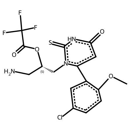 COc1ccc(Cl)cc1-c1cc(=O)[nH]c(=S)n1C[C@H](CN)OC(=O)C(F)(F)F